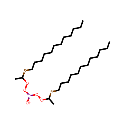 CCCCCCCCCCCCSC(C)OOP(O)OOC(C)SCCCCCCCCCCCC